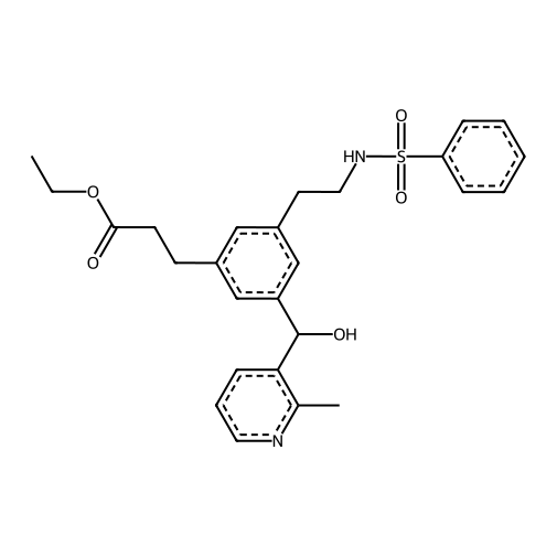 CCOC(=O)CCc1cc(CCNS(=O)(=O)c2ccccc2)cc(C(O)c2cccnc2C)c1